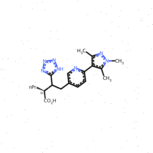 CCC[C@H](C(=O)O)C(Cc1ccc(-c2c(C)nn(C)c2C)nc1)c1nnn[nH]1